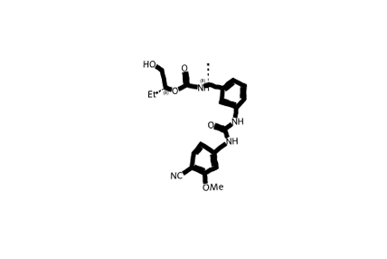 CC[C@H](CO)OC(=O)N[C@H](C)c1cccc(NC(=O)Nc2ccc(C#N)c(OC)c2)c1